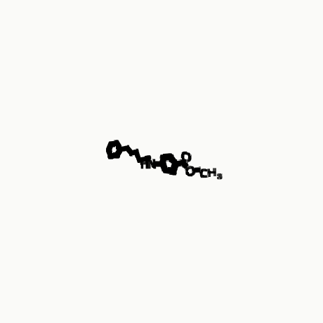 CCOC(=O)c1ccc(NCCCCCc2ccccc2)cc1